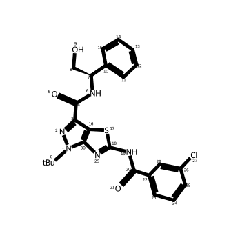 CC(C)(C)n1nc(C(=O)N[C@@H](CO)c2ccccc2)c2sc(NC(=O)c3cccc(Cl)c3)nc21